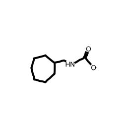 [O]C(=O)NCC1CCCCCC1